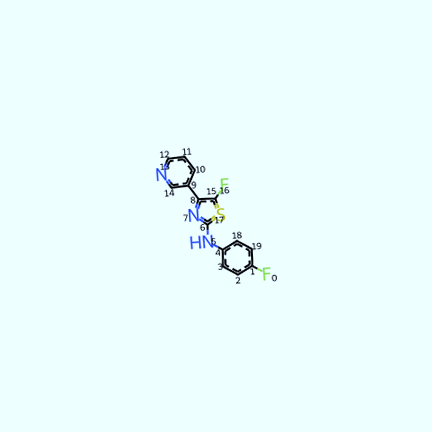 Fc1ccc(Nc2nc(-c3cccnc3)c(F)s2)cc1